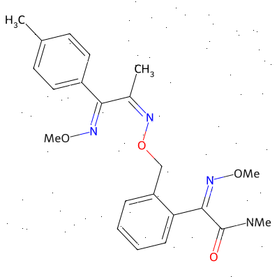 CNC(=O)C(=NOC)c1ccccc1CON=C(C)C(=NOC)c1ccc(C)cc1